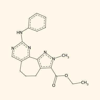 CCOC(=O)c1c2c(nn1C)-c1nc(Nc3ccccc3)ncc1CCC2